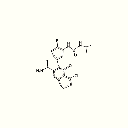 CC(C)NC(=O)Nc1cc(-n2c([C@H](C)N)nc3cccc(Cl)c3c2=O)ccc1F